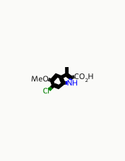 COc1cc2c(C)c(C(=O)O)[nH]c2cc1Cl